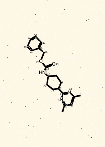 Cc1cc(C)nc(C2CCC(NC(=O)OCc3ccccc3)CC2)n1